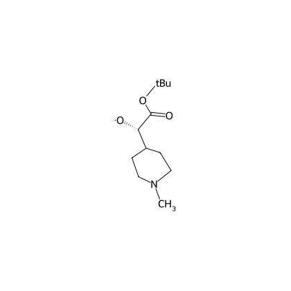 CN1CCC([C@H]([O])C(=O)OC(C)(C)C)CC1